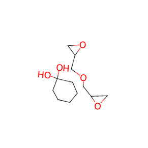 C(OCC1CO1)C1CO1.OC1(O)CCCCC1